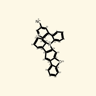 N#Cc1cncc(-c2ccccc2-n2c3ccccc3c3cc4c(cc32)oc2ccccc24)c1